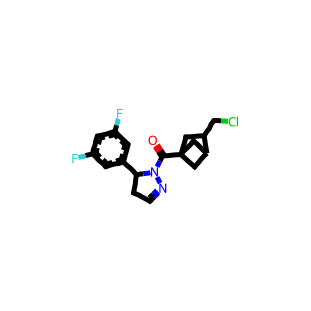 O=C(N1N=CCC1c1cc(F)cc(F)c1)C12CC(CCl)C(C1)C2